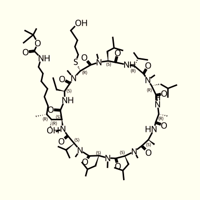 CC[C@@H]1NC(=O)[C@H]([C@H](O)[C@H](C)CCCCCCNC(=O)OC(C)(C)C)N(C)C(=O)[C@H](C(C)C)N(C)C(=O)[C@H](CC(C)C)N(C)C(=O)[C@H](CC(C)C)N(C)C(=O)[C@H](C)NC(=O)[C@@H](C)NC(=O)[C@@H](CC(C)C)N(C)C(=O)[C@@H](C(C)C)NC(=O)[C@H](CC(C)C)N(C)C(=O)[C@@H](SCCCCO)N(C)C1=O